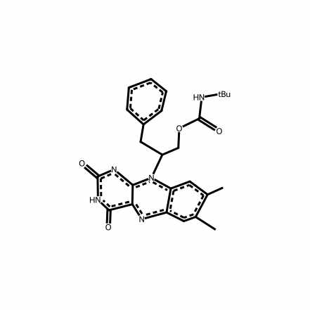 Cc1cc2nc3c(=O)[nH]c(=O)nc-3n(C(COC(=O)NC(C)(C)C)Cc3ccccc3)c2cc1C